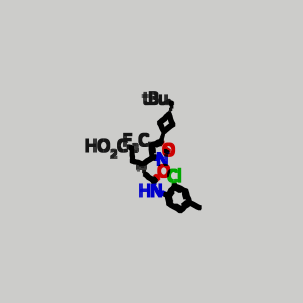 Cc1ccc(NC(=O)C[C@H](CCC(=O)O)c2noc([C@H]3C[C@H](CC(C)(C)C)C3)c2C(F)(F)F)c(Cl)c1